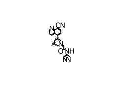 C[C@@H]1C[C@@H](c2ccc(C#N)c3ncccc23)CN(CC(=O)Nc2cnn(C)c2)C1